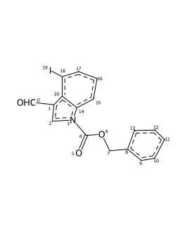 O=Cc1cn(C(=O)OCc2ccccc2)c2cccc(I)c12